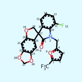 O=C1N(Cc2ccc(C(F)(F)F)o2)c2c(F)cccc2C12COc1cc3c(cc12)OCO3